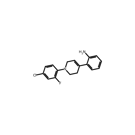 Nc1ccccc1C1=CCN(c2ccc(Cl)cc2F)CC1